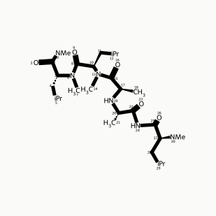 CNC(=O)[C@@H](CC(C)C)N(C)C(=O)[C@@H](CC(C)C)N(C)C(=O)[C@@H](C)N[C@@H](C)C(=O)NC(=O)[C@H](CC(C)C)NC